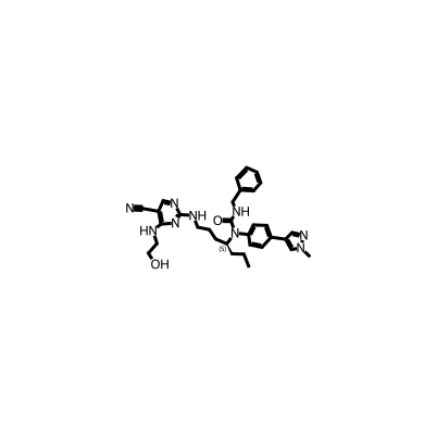 CCC[C@@H](CCCNc1ncc(C#N)c(NCCO)n1)N(C(=O)NCc1ccccc1)c1ccc(-c2cnn(C)c2)cc1